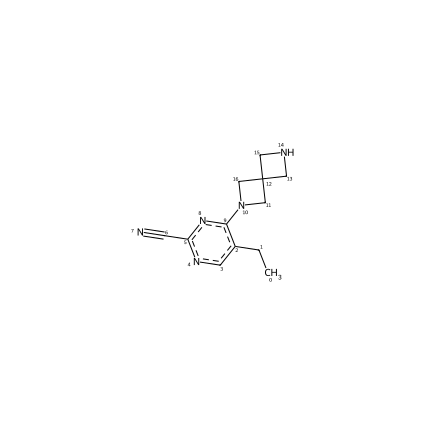 CCc1cnc(C#N)nc1N1CC2(CNC2)C1